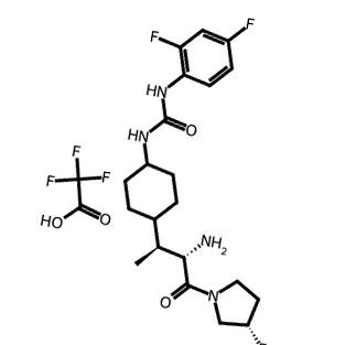 C[C@@H](C1CCC(NC(=O)Nc2ccc(F)cc2F)CC1)[C@H](N)C(=O)N1CC[C@H](F)C1.O=C(O)C(F)(F)F